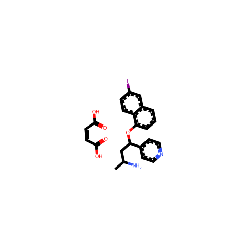 CC(N)CC(Oc1cccc2cc(I)ccc12)c1ccncc1.O=C(O)/C=C\C(=O)O